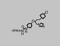 CCCCCCNC(=O)Nc1ccc(OC(CCc2ccc(Cl)cc2)Cn2ccnc2)cc1